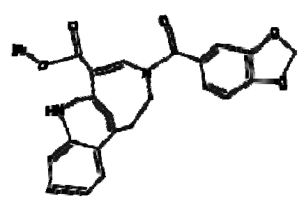 CC(C)OC(=O)C1=CN(C(=O)c2ccc3c(c2)OCO3)CCc2c1[nH]c1ccccc21